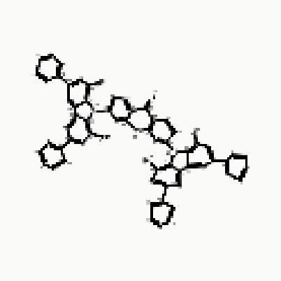 CC(C)c1cc(-c2ccccc2)cc2c3cc(-c4ccccc4)cc(C(C)C)c3n(-c3ccc4c(=O)c5ccc(-n6c7c(C(C)C)cc(-c8ccccc8)cc7c7cc(-c8ccccc8)cc(C(C)C)c76)cc5oc4c3)c12